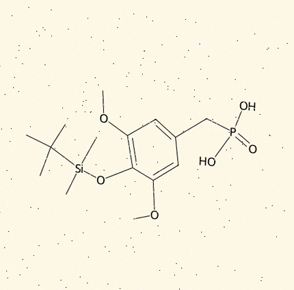 COc1cc(CP(=O)(O)O)cc(OC)c1O[Si](C)(C)C(C)(C)C